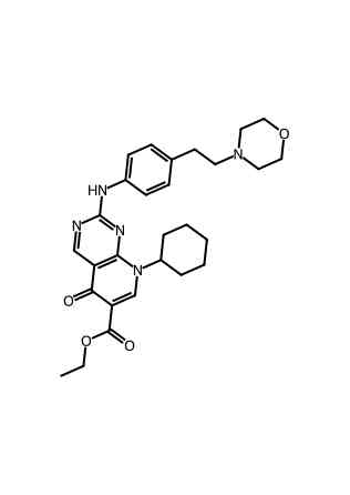 CCOC(=O)c1cn(C2CCCCC2)c2nc(Nc3ccc(CCN4CCOCC4)cc3)ncc2c1=O